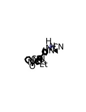 CCc1cc(C(=O)N2CCCCCC2C)nc2cc(-c3ccc(N/C(=N/C#N)NC4CC4)cc3)nn12